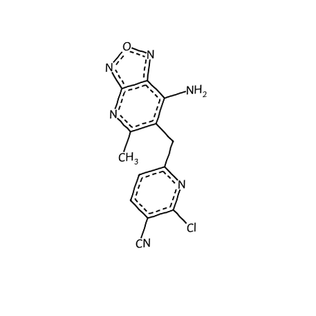 Cc1nc2nonc2c(N)c1Cc1ccc(C#N)c(Cl)n1